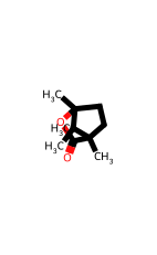 CC12CCC(C)(C(=O)O1)C2(C)C